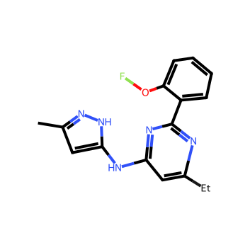 CCc1cc(Nc2cc(C)n[nH]2)nc(-c2ccccc2OF)n1